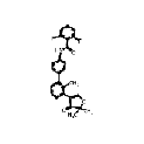 Cc1c(C2=COC(C)(C)C2=O)cccc1-c1ccc(NC(=O)c2c(F)cccc2F)cc1